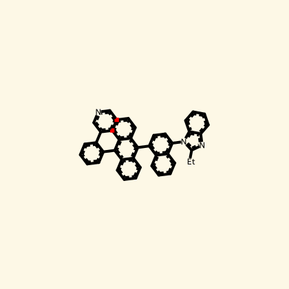 CCc1nc2ccccc2n1-c1ccc(-c2c3ccccc3c(-c3ccccc3-c3cccnc3)c3ccccc23)c2ccccc12